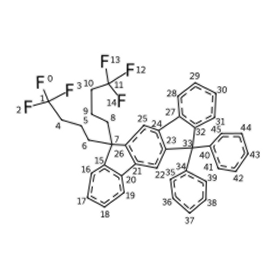 FC(F)(F)CCCC1(CCCC(F)(F)F)c2ccccc2-c2cc3c(cc21)-c1ccccc1C3(c1ccccc1)c1ccccc1